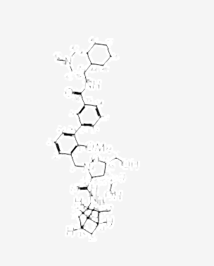 COc1c(CN2O[C@@H](CO)[C@H]([C@H](C)O)[C@H]2C(=O)N[C@H]2C[C@H]3C[C@@H]([C@@H]2C)C3(C)C)cccc1-c1cccc(C(=O)N[C@H](CN(C)C)C2CCCCC2)c1